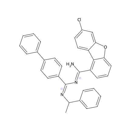 CC(/N=C(\N=C(/N)c1cccc2oc3cc(Cl)ccc3c12)c1ccc(-c2ccccc2)cc1)c1ccccc1